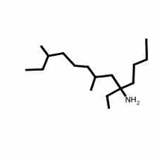 CCCCC(N)(CC)CC(C)CCCC(C)CC